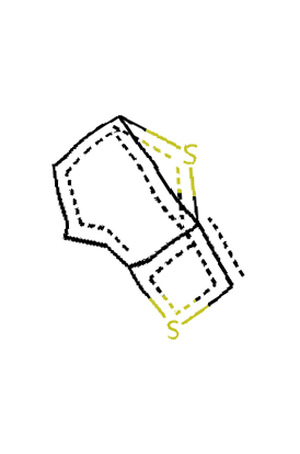 c1cc2sc3c1sc23